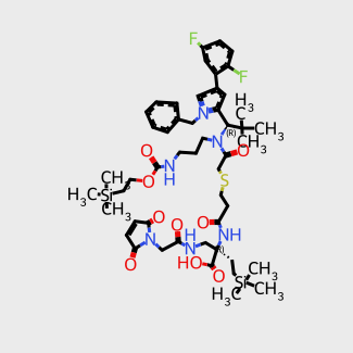 CC(C)(C)[C@H](c1cc(-c2cc(F)ccc2F)cn1Cc1ccccc1)N(CCCNC(=O)OCC[Si](C)(C)C)C(=O)CSCCC(=O)N[C@](CC[Si](C)(C)C)(CNC(=O)CN1C(=O)C=CC1=O)C(=O)O